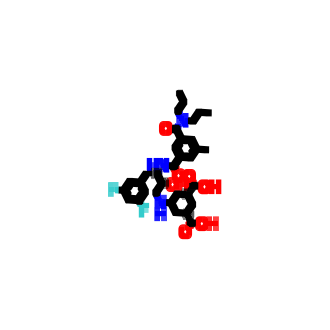 CCCN(CCC)C(=O)c1cc(C)cc(C(=O)N[C@@H](Cc2cc(F)cc(F)c2)[C@H](O)CNC2C[C@@H](C(=O)O)C[C@@H](C(=O)O)C2)c1